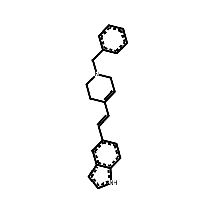 C(=Cc1ccc2[nH]ccc2c1)C1=CCN(Cc2ccccc2)CC1